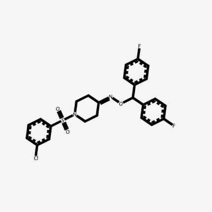 O=S(=O)(c1cccc(Cl)c1)N1CCC(=NOC(c2ccc(F)cc2)c2ccc(F)cc2)CC1